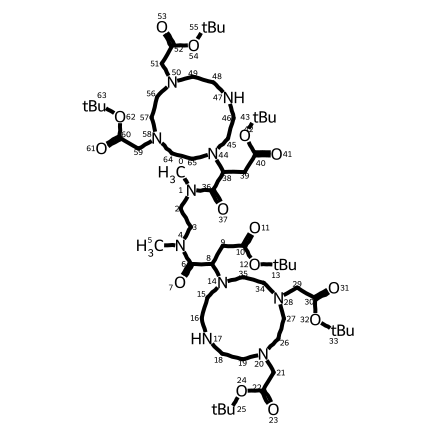 CN(CCN(C)C(=O)C(CC(=O)OC(C)(C)C)N1CCNCCN(CC(=O)OC(C)(C)C)CCN(CC(=O)OC(C)(C)C)CC1)C(=O)C(CC(=O)OC(C)(C)C)N1CCNCCN(CC(=O)OC(C)(C)C)CCN(CC(=O)OC(C)(C)C)CC1